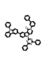 O=c1c2c3cc(-c4ccc5c(c4)c4ccccc4n5-c4ccccc4)ccc3n(-c3nc(-c4ccccc4)nc(-c4ccccc4)n3)c2ccn1-c1cccc(-c2ccccc2)c1